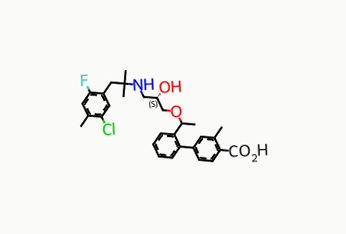 Cc1cc(F)c(CC(C)(C)NC[C@H](O)COC(C)c2ccccc2-c2ccc(C(=O)O)c(C)c2)cc1Cl